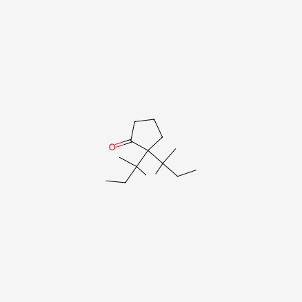 CCC(C)(C)C1(C(C)(C)CC)CCCC1=O